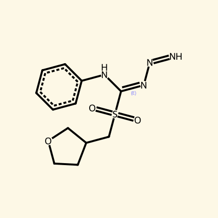 N=N/N=C(\Nc1ccccc1)S(=O)(=O)CC1CCOC1